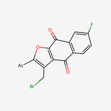 CC(=O)c1oc2c(c1CBr)C(=O)c1ccc(F)cc1C2=O